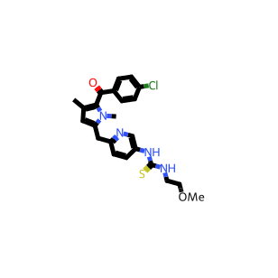 COCCNC(=S)Nc1ccc(Cc2cc(C)c(C(=O)c3ccc(Cl)cc3)n2C)nc1